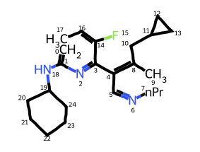 C=C(/N=C(C(/C=N\CCC)=C(/C)CC1CC1)\C(F)=C/C)NC1CCCCC1